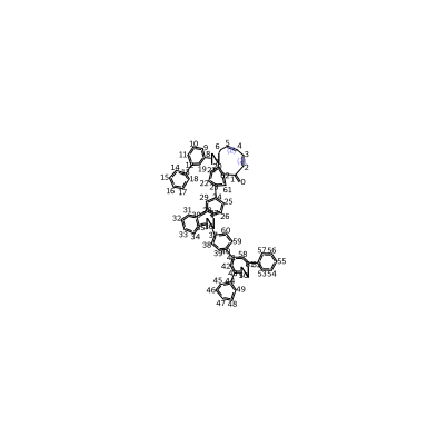 C=C1/C=C\C=C/CN(c2cccc(-c3ccccc3)c2)c2ccc(-c3ccc4c(c3)c3ccccc3n4-c3ccc(-c4cc(-c5ccccc5)nc(-c5ccccc5)c4)cc3)cc21